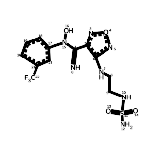 N=C(c1nonc1NCCNS(N)(=O)=O)N(O)c1cccc(C(F)(F)F)c1